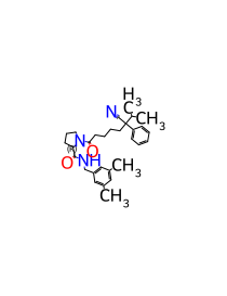 Cc1cc(C)cc(CNC(=O)[C@H]2CCCN2C(=O)CCCCC(C#N)(c2ccccc2)C(C)C)c1